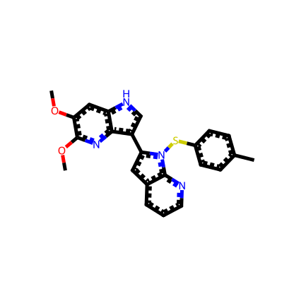 COc1cc2[nH]cc(-c3cc4cccnc4n3Sc3ccc(C)cc3)c2nc1OC